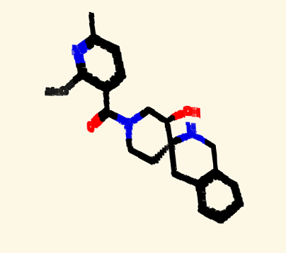 COc1nc(C)ccc1C(=O)N1CC[C@]2(Cc3ccccc3CN2)[C@H](O)C1